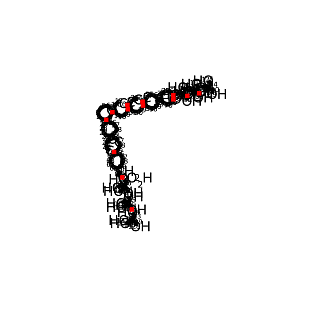 C1CCCCCCCCC1.C1CCCCCCCCC1.C1CCCCCCCCC1.C1CCCCCCCCC1.C1CCCCCCCCC1.C1CCCCCCCCC1.C1CCCCCCCCC1.C1CCCCCCCCC1.C=CC(=O)O.OCC(CO)(CO)CO.OCC(CO)(CO)CO.OCC(CO)(CO)CO.OCC(CO)(CO)CO.OCC(CO)(CO)CO.OCC(CO)(CO)CO